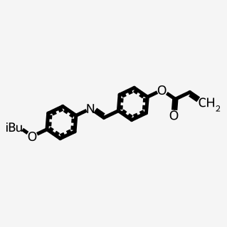 C=CC(=O)Oc1ccc(C=Nc2ccc(OC(C)CC)cc2)cc1